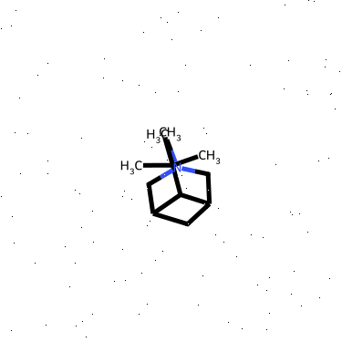 CN1CC2CC(C1)C2C(C)(C)C